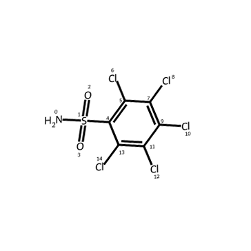 NS(=O)(=O)c1c(Cl)c(Cl)c(Cl)c(Cl)c1Cl